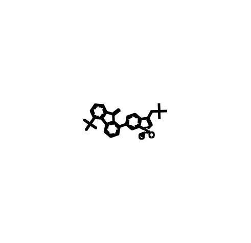 C=C1c2cccc(C(C)(C)C)c2-c2cccc(-c3ccc4c(c3)S(=O)(=O)C=C4CC(C)(C)C)c21